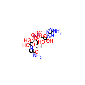 C#CCCOP(=O)(OC[C@H]1O[C@@H]([n+]2cccc(C(N)=O)c2)[C@H](O)[C@@H]1O)OP(=O)([O-])OC[C@H]1O[C@@H](n2cnc3c(N)ncnc32)[C@H](O)[C@@H]1O